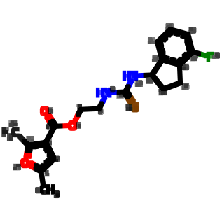 Cc1cc(C(=O)OCCNC(=S)NC2CCc3c(F)cccc32)c(C(F)(F)F)o1